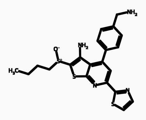 CCCC[S+]([O-])c1sc2nc(-c3nccs3)cc(-c3ccc(CN)cc3)c2c1N